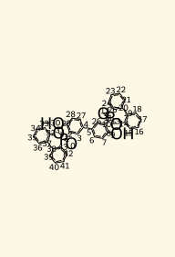 O=P1(c2cc(-c3ccc(O)c(P4(=O)Oc5ccccc5-c5ccccc54)c3)ccc2O)Oc2ccccc2-c2ccccc21